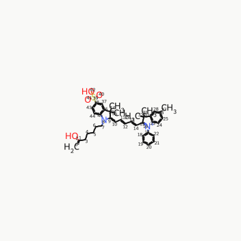 C=C(O)CCCCCN1/C(=C/C=C/C=C/C2=[N+](c3ccccc3)c3ccc(C)cc3C2(C)C)C(C)(C)c2cc(S(=O)(=O)O)ccc21